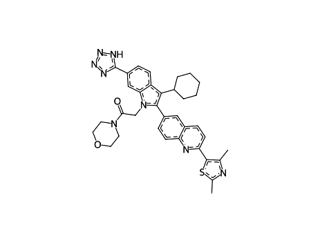 Cc1nc(C)c(-c2ccc3cc(-c4c(C5CCCCC5)c5ccc(-c6nnn[nH]6)cc5n4CC(=O)N4CCOCC4)ccc3n2)s1